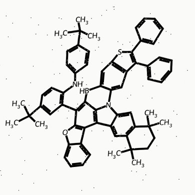 CC(C)(C)c1ccc(Nc2ccc(C(C)(C)C)cc2-c2c3c4c(c5cc6c(cc5n4-c4cc5c(-c7ccccc7)c(-c7ccccc7)sc5cc4B3)C(C)(C)CCC6(C)C)c3c2oc2ccccc23)cc1